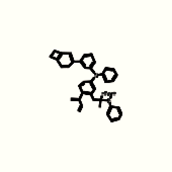 C=CC(=C)c1ccc(N(c2ccccc2)c2cccc(-c3ccc4c(c3)CC4)c2)cc1CC(C)(CCCCC)N(C)c1ccccc1